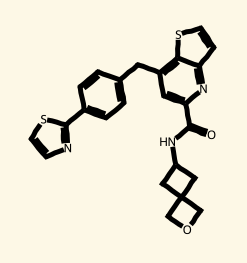 O=C(NC1CC2(COC2)C1)c1cc(Cc2ccc(-c3nccs3)cc2)c2sccc2n1